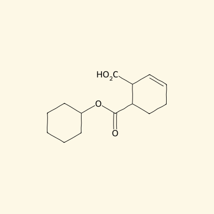 O=C(O)C1C=CCCC1C(=O)OC1CCCCC1